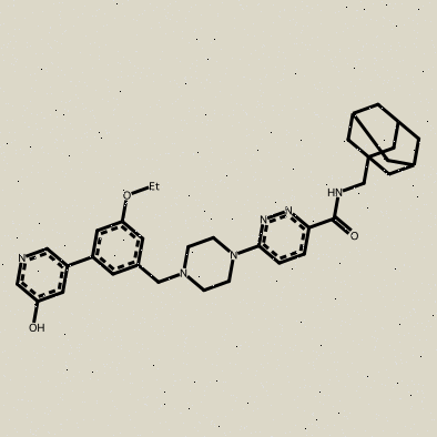 CCOc1cc(CN2CCN(c3ccc(C(=O)NCC45CC6CC(CC(C6)C4)C5)nn3)CC2)cc(-c2cncc(O)c2)c1